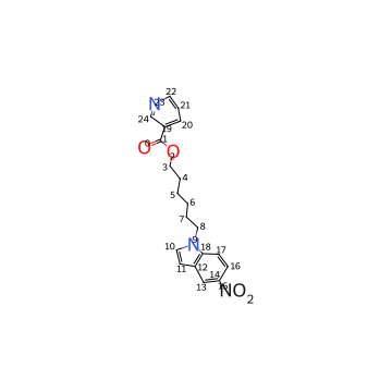 O=C(OCCCCCCn1ccc2cc([N+](=O)[O-])ccc21)c1cccnc1